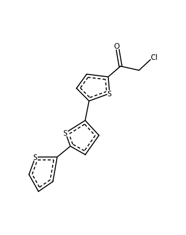 O=C(CCl)c1ccc(-c2ccc(-c3cccs3)s2)s1